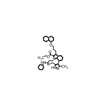 CCOC(=O)c1c(CCCOc2cccc3ccccc23)c2cccc(-c3c(C)n[nH]c3CBr)c2n1CCCNc1ccccc1